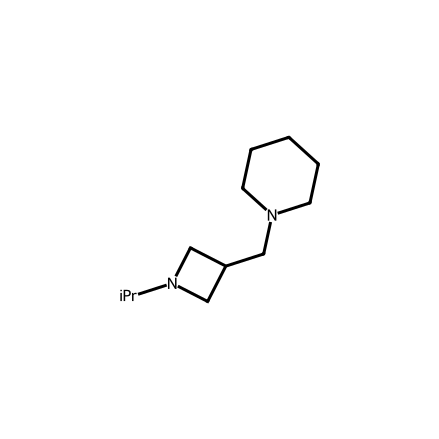 CC(C)N1CC(CN2CCCCC2)C1